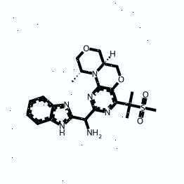 C[C@@H]1COC[C@H]2COc3c(nc(C(N)c4nc5ccccc5[nH]4)nc3C(C)(C)S(C)(=O)=O)N21